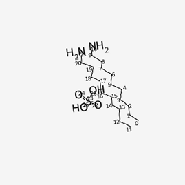 CCCCCCCCCCN.CCCCCCCCCCN.O=S(=O)(O)O